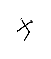 BrC(Br)(I)CI